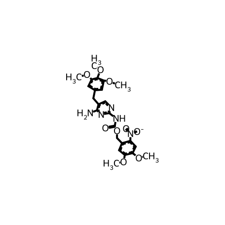 COc1cc(COC(=O)Nc2ncc(Cc3cc(OC)c(OC)c(OC)c3)c(N)n2)c([N+](=O)[O-])cc1OC